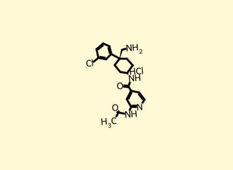 CC(=O)Nc1cc(C(=O)N[C@H]2CC[C@@](CN)(c3cccc(Cl)c3)CC2)ccn1.Cl